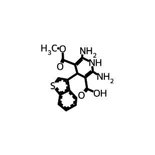 COC(=O)C1=C(N)NC(N)=C(C(=O)O)C1c1csc2ccccc12